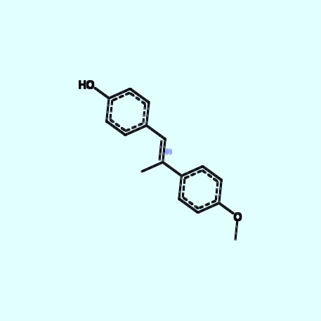 COc1ccc(/C(C)=C/c2ccc(O)cc2)cc1